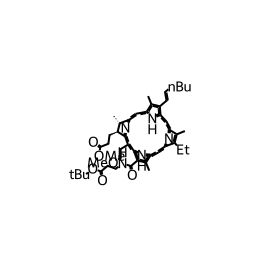 CCCC/C=C/c1c(C)c2cc3nc(c(CCOC)c4[nH]c(cc5nc(cc1[nH]2)C(C)=C5CC)c(C)c4C(=O)NCCC(=O)OC(C)(C)C)[C@@H](CCC(=O)OC)[C@@H]3C